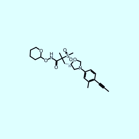 CC#Cc1ccc(N2CO[C@@H](CC(C)(C(=O)NOC3CCCCO3)S(C)(=O)=O)C2)cc1C